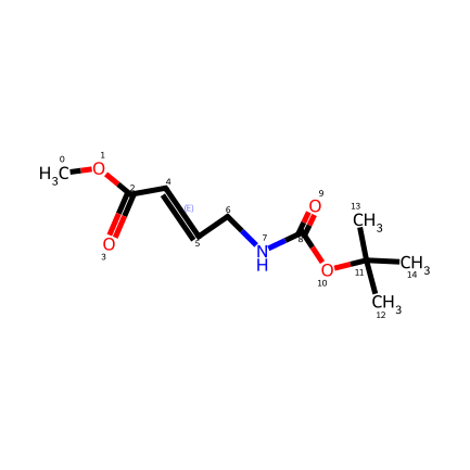 COC(=O)/C=C/CNC(=O)OC(C)(C)C